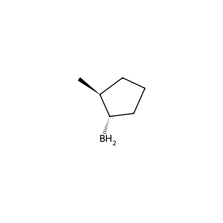 B[C@H]1CCC[C@@H]1C